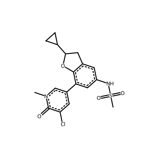 Cn1cc(-c2cc(NS(C)(=O)=O)cc3c2OC(C2CC2)C3)cc(Cl)c1=O